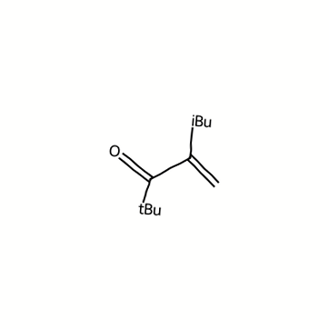 C=C(C(=O)C(C)(C)C)C(C)CC